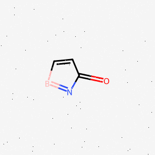 O=C1C=CB=N1